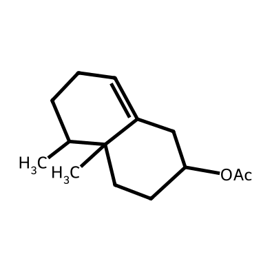 CC(=O)OC1CCC2(C)C(=CCCC2C)C1